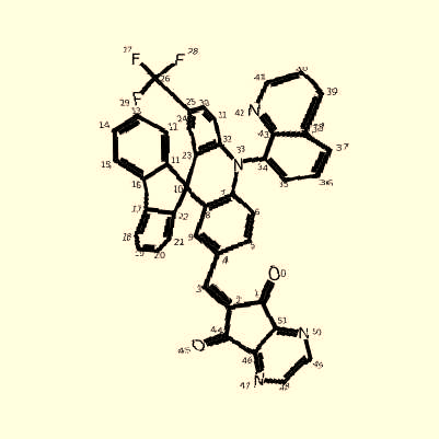 O=C1C(=Cc2ccc3c(c2)C2(c4ccccc4-c4ccccc42)c2cc(C(F)(F)F)ccc2N3c2cccc3cccnc23)C(=O)c2nccnc21